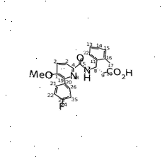 COc1ccc(C(=O)N[C@@H](CC(=O)O)c2ccccc2C)nc1-c1ccc(F)cc1